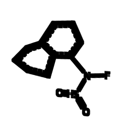 O=[SH](=O)N(F)c1cccc2ccccc12